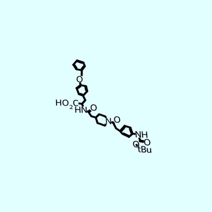 CC(C)(C)OC(=O)Nc1ccc(CC(=O)N2CCC(CC(=O)NC(Cc3ccc(OCc4ccccc4)cc3)C(=O)O)CC2)cc1